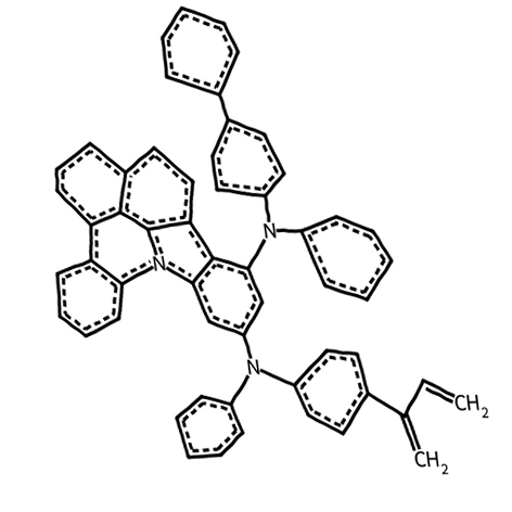 C=CC(=C)c1ccc(N(c2ccccc2)c2cc(N(c3ccccc3)c3ccc(-c4ccccc4)cc3)c3c4ccc5cccc6c7ccccc7n(c3c2)c4c56)cc1